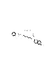 CCCN(CCCCCCNCCOc1ccccc1[N+](=O)[O-])[C@H]1CCc2c(ccc(O)c2O)C1.Cl.Cl